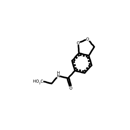 O=C(O)CNC(=O)c1ccc2c(c1)OOC2